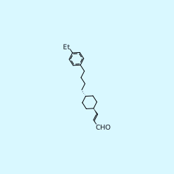 CCc1ccc(CCCC[C@H]2CC[C@H](/C=C/C=O)CC2)cc1